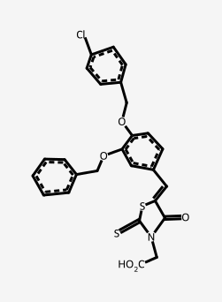 O=C(O)CN1C(=O)C(=Cc2ccc(OCc3ccc(Cl)cc3)c(OCc3ccccc3)c2)SC1=S